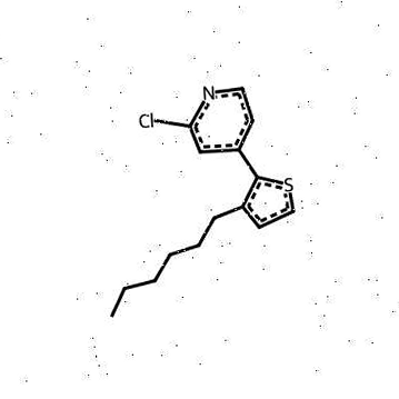 CCCCCCc1ccsc1-c1ccnc(Cl)c1